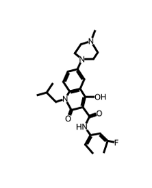 C/C=C(\C=C(/C)F)NC(=O)c1c(O)c2cc(N3CCN(C)CC3)ccc2n(CC(C)C)c1=O